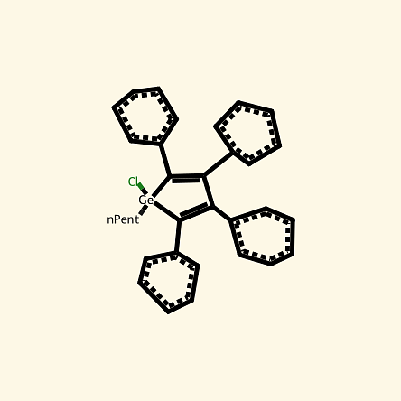 CCCC[CH2][Ge]1([Cl])[C](c2ccccc2)=C(c2ccccc2)C(c2ccccc2)=[C]1c1ccccc1